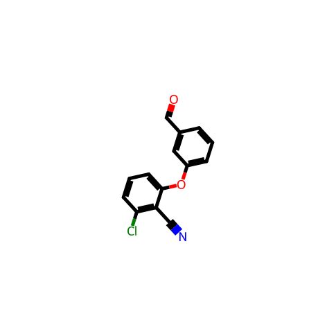 N#Cc1c(Cl)cccc1Oc1cccc(C=O)c1